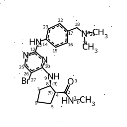 CNC(=O)[C@H]1CCC[C@H]1Nc1nc(Nc2ccc(CN(C)C)cc2)ncc1Br